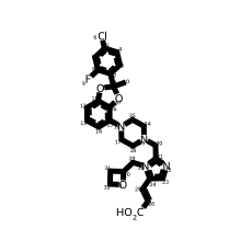 CC1(c2ccc(Cl)cc2F)Oc2cccc(N3CCN(Cc4ncc(/C=C/C(=O)O)n4CC4CCO4)CC3)c2O1